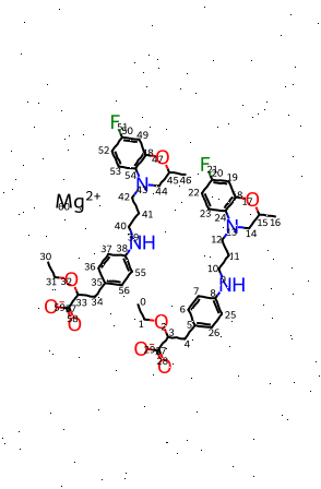 CCOC(Cc1ccc(NCCCN2CC(C)Oc3cc(F)ccc32)cc1)C(=O)[O-].CCOC(Cc1ccc(NCCCN2CC(C)Oc3cc(F)ccc32)cc1)C(=O)[O-].[Mg+2]